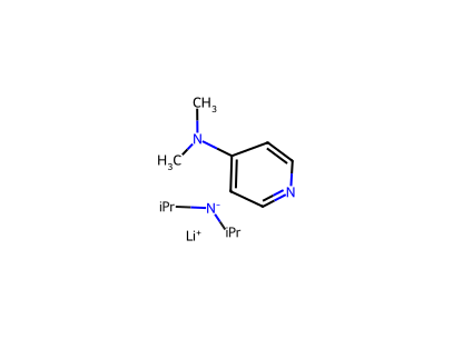 CC(C)[N-]C(C)C.CN(C)c1ccncc1.[Li+]